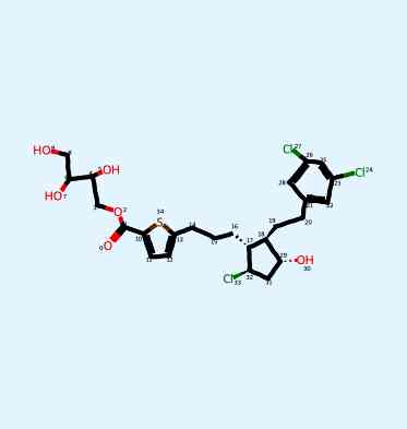 O=C(OCC(O)C(O)CO)c1ccc(CCC[C@@H]2[C@@H](CCc3cc(Cl)cc(Cl)c3)[C@H](O)C[C@H]2Cl)s1